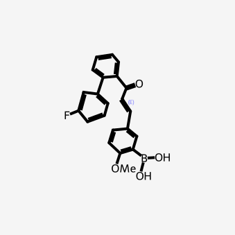 COc1ccc(/C=C/C(=O)c2ccccc2-c2cccc(F)c2)cc1B(O)O